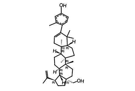 C=C(C)[C@@H]1CC[C@]2(CO)CC[C@]3(C)[C@H](CC[C@@H]4[C@@]5(C)CC=C(c6ccc(O)cc6C)C(C)(C)[C@@H]5CC[C@]43C)[C@@H]12